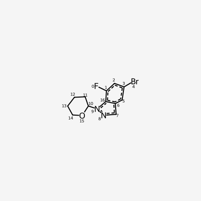 Fc1cc(Br)cc2cnn(C3CCCCO3)c12